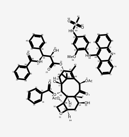 CC(=O)O[C@H]1C(=O)[C@@]2(C)[C@H]([C@H](OC(=O)c3ccccc3)[C@]3(O)C[C@H](OC(=O)[C@H](O)[C@@H](NC(=O)c4ccccc4)c4ccccc4)C(C)=C1C3(C)C)[C@]1(OC(C)=O)CO[C@@H]1C[C@@H]2O.COc1cc(NS(C)(=O)=O)ccc1Nc1c2ccccc2nc2ccccc12